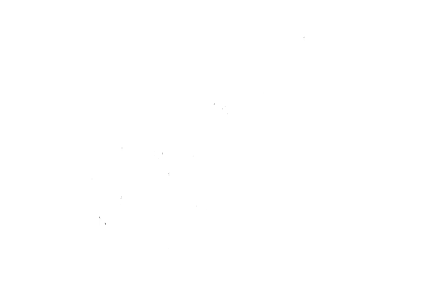 c1ccc(SC[Si]23OCCN(CCO2)CCO3)cc1